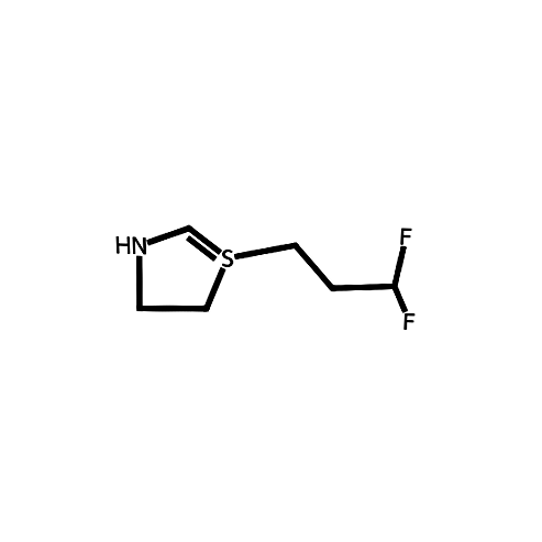 FC(F)CCS1=CNCC1